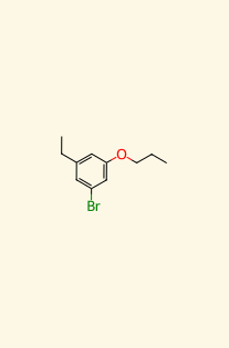 CCCOc1cc(Br)cc(CC)c1